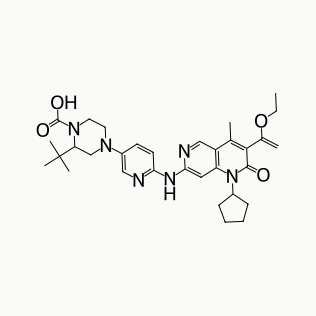 C=C(OCC)c1c(C)c2cnc(Nc3ccc(N4CCN(C(=O)O)C(C(C)(C)C)C4)cn3)cc2n(C2CCCC2)c1=O